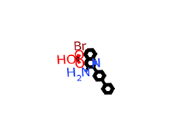 Nc1c(-c2ccc(-c3ccccc3)cc2)nc2ccc(Br)cc2c1OC(=O)O